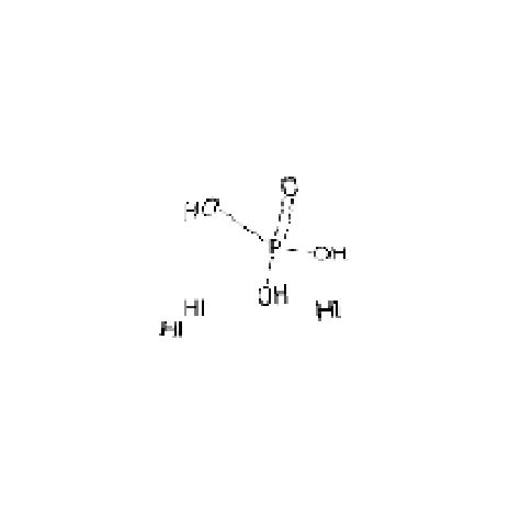 I.I.I.O=P(O)(O)O